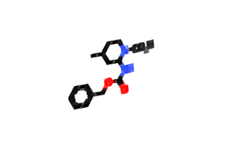 CC1CCN(C(=O)O)C(NC(=O)OCc2ccccc2)C1